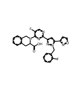 O=C(O)C1Cc2ccccc2CN1c1nc(-c2cc(-c3ccon3)n(Cc3ccccc3F)n2)ncc1F